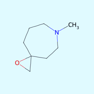 CN1CCCC2(CC1)CO2